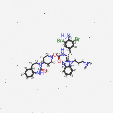 CN(C)CCCn1c([C@@H](Cc2cc(Br)c(N)c(Br)c2)NC(=O)ON2CCC(N3CCc4ccccc4NC3=O)CC2)nc2ccccc21